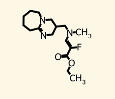 CCOC(=O)/C(F)=C/N(C)CC1CN=C2CCCCCN2C1